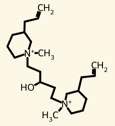 C=CCC1CCC[N+](C)(CCC(O)CC[N+]2(C)CCCC(CC=C)C2)C1